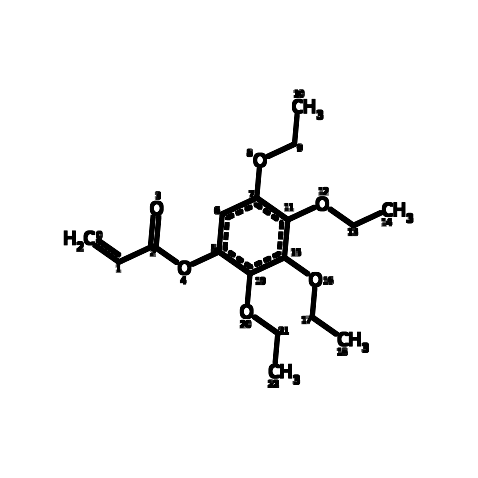 C=CC(=O)Oc1cc(OCC)c(OCC)c(OCC)c1OCC